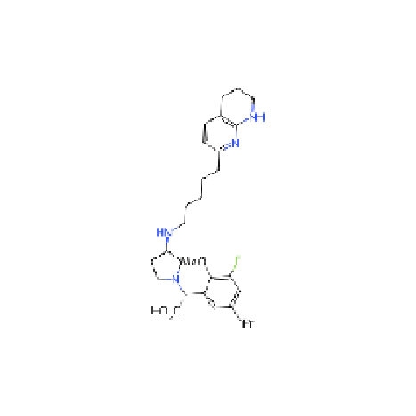 COc1c(F)cc(C(C)C)cc1[C@H](C(=O)O)N1CC[C@@H](NCCCCCc2ccc3c(n2)NCCC3)C1